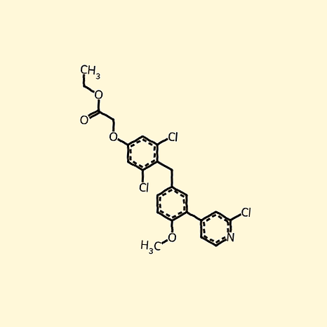 CCOC(=O)COc1cc(Cl)c(Cc2ccc(OC)c(-c3ccnc(Cl)c3)c2)c(Cl)c1